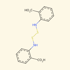 O=C(O)c1ccccc1NSSNc1ccccc1C(=O)O